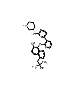 Cc1ccc2c(CC(C)(C)O)cccc2c1Oc1ncccc1-c1ccnc(N[C@H]2CCCNC2)n1